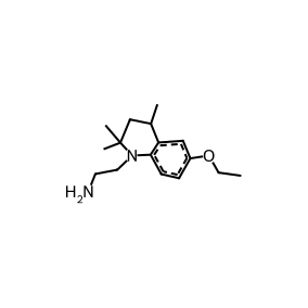 CCOc1ccc2c(c1)C(C)CC(C)(C)N2CCN